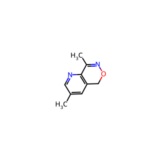 CC1=NOCc2cc(C)cnc21